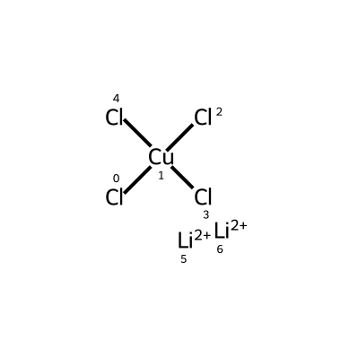 [Cl][Cu]([Cl])([Cl])[Cl].[Li+2].[Li+2]